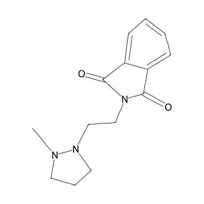 CN1CCCN1CCN1C(=O)c2ccccc2C1=O